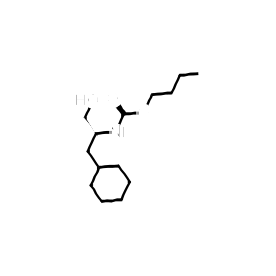 CCCCOC(=O)N[C@H](CO)CC1CCCCC1